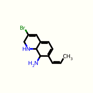 C/C=C\C1=CC=C2C=C(Br)CNC2C1N